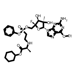 CCOc1nc(N)nc2c1ncn2[C@@H]1O[C@](F)(COP(=O)(CCN[C@@H](C)C(=O)OC2CCCCC2)Oc2ccccc2)[C@@H](O)[C@@]1(C)O